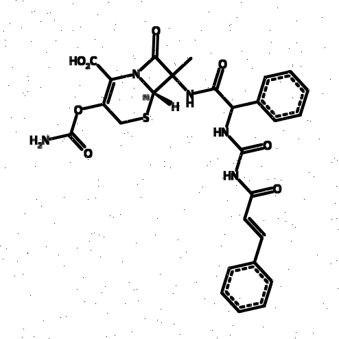 CC1(NC(=O)C(NC(=O)NC(=O)C=Cc2ccccc2)c2ccccc2)C(=O)N2C(C(=O)O)=C(OC(N)=O)CS[C@H]21